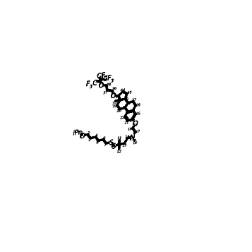 CC(C)OCCCCCCSSC(C)(C)CCN(C)CCOc1ccc2c(c1)CCC1C2CCC2(C)C(OCCCOC(C(F)(F)F)(C(F)(F)F)C(F)(F)F)CCC12